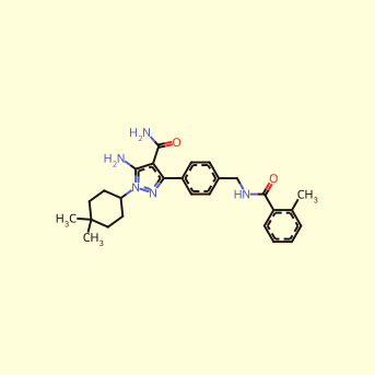 Cc1ccccc1C(=O)NCc1ccc(-c2nn(C3CCC(C)(C)CC3)c(N)c2C(N)=O)cc1